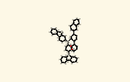 c1ccc(-c2ccc(-c3ccc4ccccc4c3)cc2N(c2ccc(-n3c4ccccc4c4ccccc43)cc2)c2ccc3c(c2)oc2ccccc23)cc1